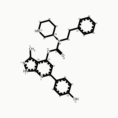 Cc1n[nH]c2nc(-c3ccc(O)cc3)cc(OC(=O)N(CCc3ccccc3)[C@@H]3CCCNC3)c12